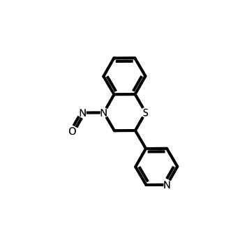 O=NN1CC(c2ccncc2)Sc2ccccc21